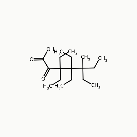 CCC(C)(CC)C(CC)(CC)C(CC)(CC)C(=O)C(=O)O